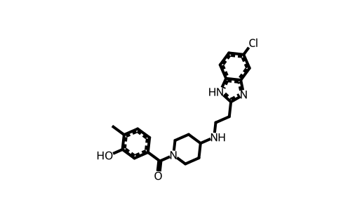 Cc1ccc(C(=O)N2CCC(NCCc3nc4cc(Cl)ccc4[nH]3)CC2)cc1O